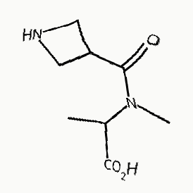 CC(C(=O)O)N(C)C(=O)C1CNC1